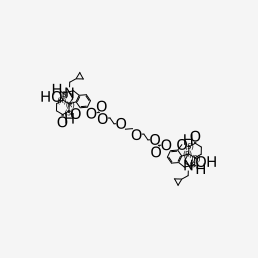 O=C(OCCOCCOCCOC(=O)Oc1ccc2c3c1O[C@@H]1C(=O)CC[C@]4(O)[C@H](C2)N(CC2CC2)CC[C@@]314)Oc1ccc2c3c1O[C@@H]1C(=O)CC[C@]4(O)[C@H](C2)N(CC2CC2)CC[C@@]314